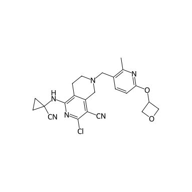 Cc1nc(OC2COC2)ccc1CN1CCc2c(NC3(C#N)CC3)nc(Cl)c(C#N)c2C1